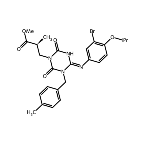 COC(=O)[C@@H](C)Cn1c(=O)[nH]/c(=N\c2ccc(OC(C)C)c(Br)c2)n(Cc2ccc(C)cc2)c1=O